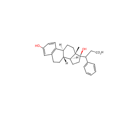 C[C@]12CC[C@@H]3c4ccc(O)cc4CC[C@H]3[C@@H]1CC[C@@]2(O)C(CC(=O)O)c1ccccc1